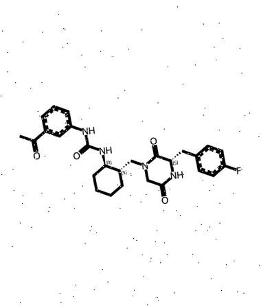 CC(=O)c1cccc(NC(=O)N[C@@H]2CCCC[C@H]2CN2CC(=O)N[C@@H](Cc3ccc(F)cc3)C2=O)c1